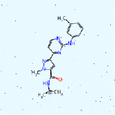 Cc1cccc(Nc2nccc(-c3cc(C(=O)N[C@@H](C)C(F)(F)F)n(C)n3)n2)c1